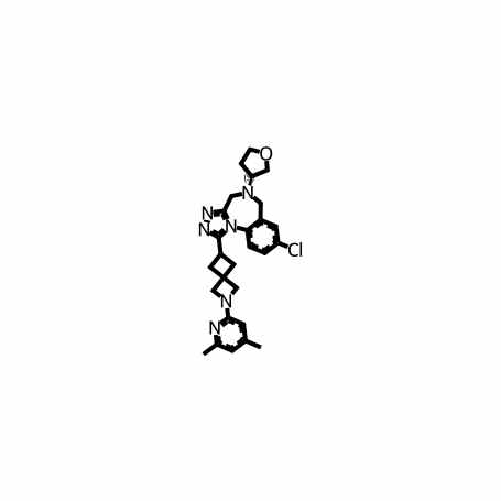 Cc1cc(C)nc(N2CC3(CC(c4nnc5n4-c4ccc(Cl)cc4CN([C@H]4CCOC4)C5)C3)C2)c1